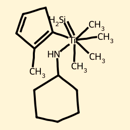 CC1=[C]([Ti]([CH3])([CH3])([CH3])([CH3])(=[SiH2])[NH]C2CCCCC2)CC=C1